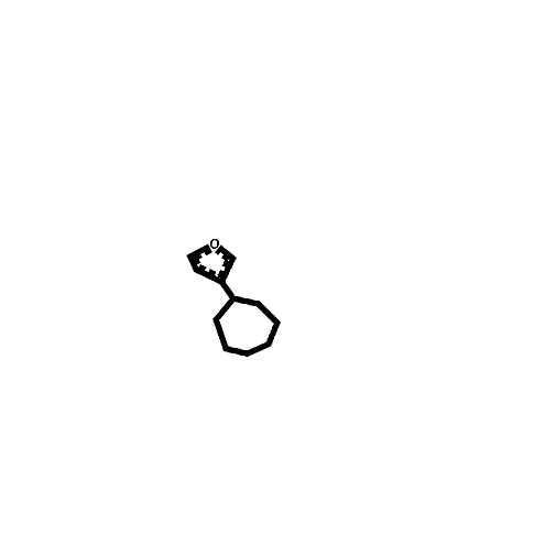 c1cc(C2CCCCCC2)co1